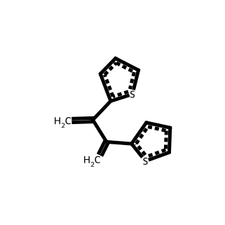 C=C(C(=C)c1cccs1)c1cccs1